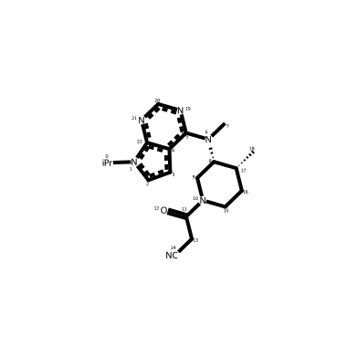 CC(C)n1ccc2c(N(C)[C@H]3CN(C(=O)CC#N)CC[C@H]3C)ncnc21